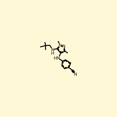 Cc1nn(C)c(NCC(C)(C)C)c1Nc1ccc(C#N)cc1